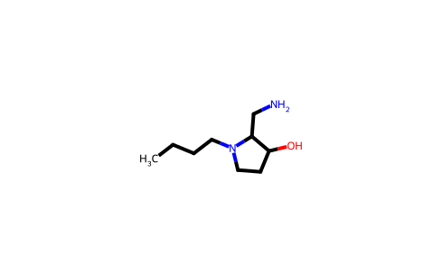 CCCCN1CCC(O)C1CN